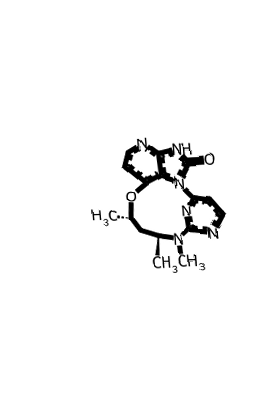 C[C@H]1C[C@H](C)N(C)c2nccc(n2)-n2c(=O)[nH]c3nccc(c32)O1